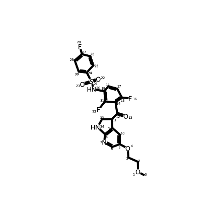 COCCOc1cnc2c(c1)C(C(=O)c1c(F)ccc(NS(=O)(=O)c3ccc(F)cc3)c1F)CN2